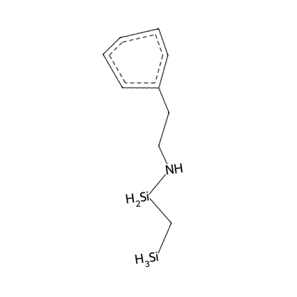 [SiH3]C[SiH2]NCCc1ccccc1